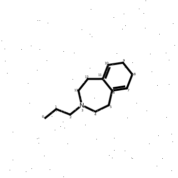 CCCN1CCC2=CCCC=C2CC1